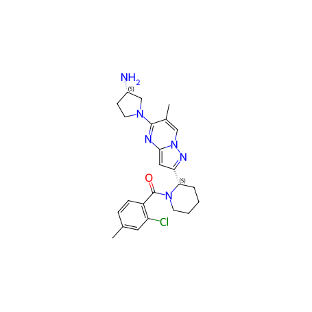 Cc1ccc(C(=O)N2CCCC[C@H]2c2cc3nc(N4CC[C@H](N)C4)c(C)cn3n2)c(Cl)c1